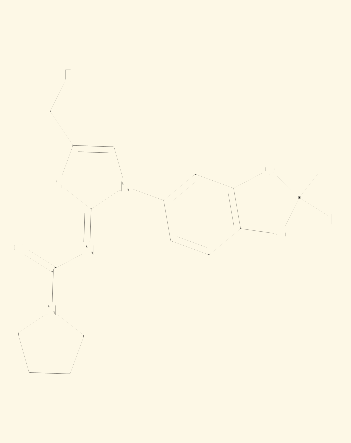 O=C(N=c1sc(CF)cn1-c1ccc2c(c1)OC(F)(F)O2)N1CCCC1